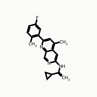 C=C(Nc1cc2c(C)cc(-c3cc(F)ccc3C)nc2cn1)C1CC1